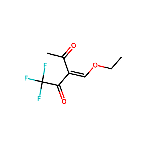 CCO/C=C(\C(C)=O)C(=O)C(F)(F)F